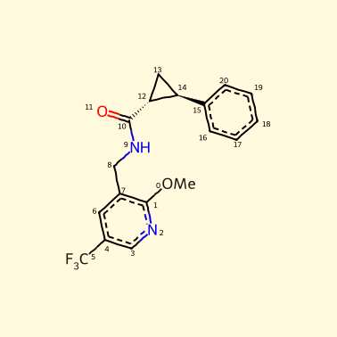 COc1ncc(C(F)(F)F)cc1CNC(=O)[C@@H]1C[C@H]1c1ccccc1